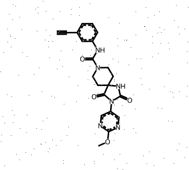 C#Cc1cccc(NC(=O)N2CCC3(CC2)NC(=O)N(c2cnc(OC)nc2)C3=O)c1